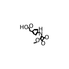 CCOc1c(Nc2ccc(CC(=O)O)cc2)c(=O)c1=O